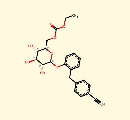 C#Cc1ccc(Cc2ccccc2O[C@@H]2O[C@H](COC(=O)OCC)[C@@H](O)[C@H](O)[C@H]2O)cc1